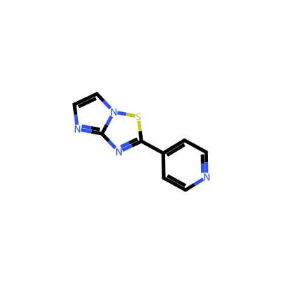 c1cc(-c2nc3nccn3s2)ccn1